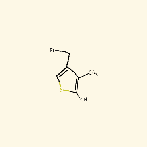 Cc1c(CC(C)C)csc1C#N